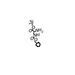 C[Si](C)(C)CCOC(=O)C(N)CNC(=O)OCc1ccccc1